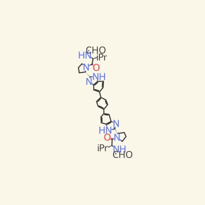 CC(C)[C@H](NC=O)C(=O)N1CCC[C@H]1c1nc2cc(-c3ccc(-c4ccc5[nH]c([C@@H]6CCCN6C(=O)[C@@H](NC=O)C(C)C)nc5c4)cc3)ccc2[nH]1